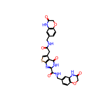 O=C(Cc1csc2nc(C(=O)NCc3ccc4c(c3)NC(=O)CO4)[nH]c(=O)c12)NCc1ccc2c(c1)NC(=O)CO2